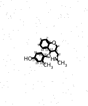 CNCC1COc2ccccc2C1Oc1ccc(O)cc1C